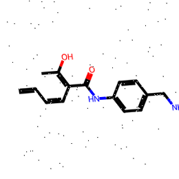 C=C/C=C\C(C(=O)Nc1ccc(CN)cc1)=C(/C)O